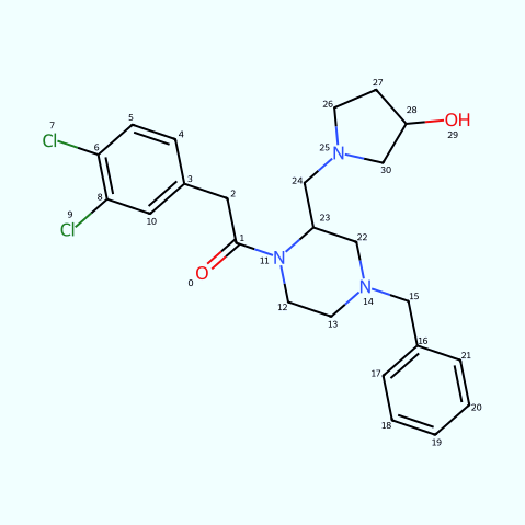 O=C(Cc1ccc(Cl)c(Cl)c1)N1CCN(Cc2ccccc2)CC1CN1CCC(O)C1